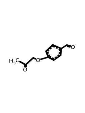 CC(=O)COc1ccc(C=O)cc1